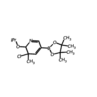 CC(C)OC1N=CC(B2OC(C)(C)C(C)(C)O2)=CC1(C)Cl